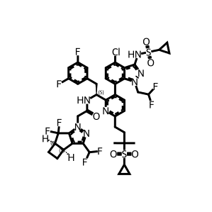 CC(C)(CCc1ccc(-c2ccc(Cl)c3c(NS(=O)(=O)C4CC4)nn(CC(F)F)c23)c([C@H](Cc2cc(F)cc(F)c2)NC(=O)Cn2nc(C(F)F)c3c2C(F)(F)[C@@H]2CC[C@H]32)n1)S(=O)(=O)C1CC1